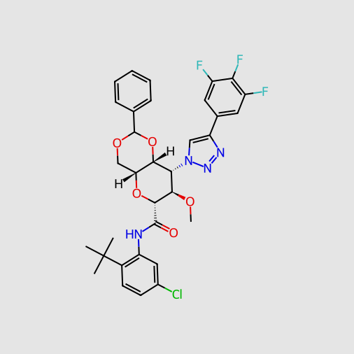 CO[C@@H]1[C@@H](n2cc(-c3cc(F)c(F)c(F)c3)nn2)[C@H]2OC(c3ccccc3)OC[C@H]2O[C@H]1C(=O)Nc1cc(Cl)ccc1C(C)(C)C